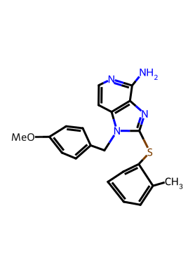 COc1ccc(Cn2c(Sc3ccccc3C)nc3c(N)nccc32)cc1